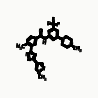 Cc1ccc(C(=O)Nc2cc(N3CCN(C)CC3)cc(C(F)(F)F)c2)cc1-n1cc(-c2cnn(C)c2)nn1